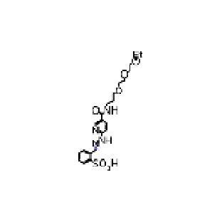 CCOCCOCCOCCCNC(=O)c1ccc(N/N=C/c2ccccc2S(=O)(=O)O)nc1